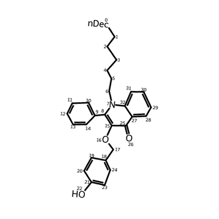 CCCCCCCCCCCCCCCCn1c(-c2ccccc2)c(OCc2ccc(O)cc2)c(=O)c2ccccc21